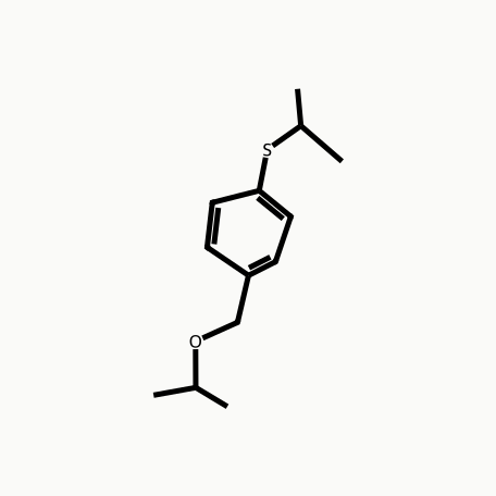 CC(C)OCc1ccc(SC(C)C)cc1